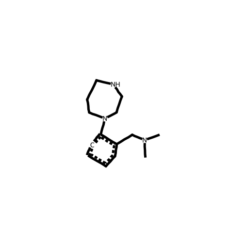 CN(C)Cc1ccccc1N1CCCNCC1